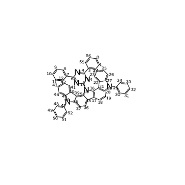 c1ccc(-c2nc(-c3ccccc3)nc(-n3c4c(ccc5c4c4ccccc4n5-c4ccccc4)c4ccc5c(c6ccccc6n5-c5ccccc5)c43)n2)cc1